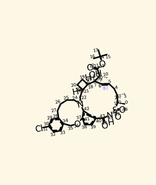 C[C@@H]1[C@@H](C)C/C=C/[C@](O)([C@@H](C)C(=O)OC(C)(C)C)[C@@H]2CC[C@H]2CN2CCCCc3cc(Cl)ccc3COc3ccc(cc32)C(=O)NS1(=O)=O